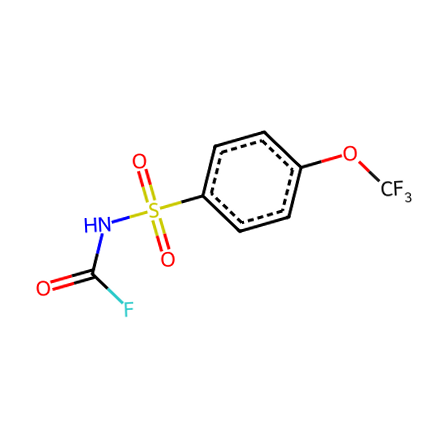 O=C(F)NS(=O)(=O)c1ccc(OC(F)(F)F)cc1